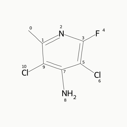 Cc1nc(F)c(Cl)c(N)c1Cl